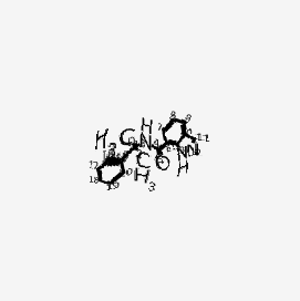 CC(C)(NC(=O)c1cccc2cn[nH]c12)c1ccccc1